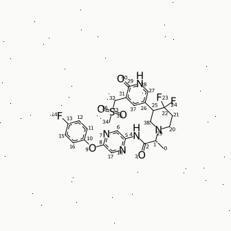 CC(C(=O)Nc1cnc(Oc2ccc(F)cc2)cn1)N1CCC(F)(F)C(c2c[nH]c(=O)c(CS(C)(=O)=O)c2)C1